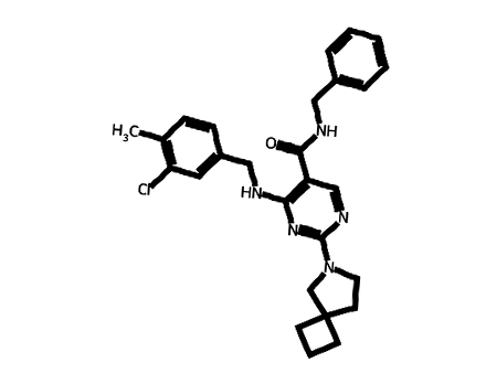 Cc1ccc(CNc2nc(N3CCC4(CCC4)C3)ncc2C(=O)NCc2ccccc2)cc1Cl